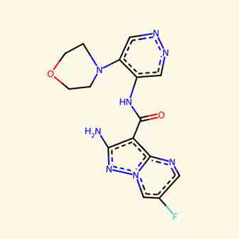 Nc1nn2cc(F)cnc2c1C(=O)Nc1cnncc1N1CCOCC1